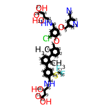 Cc1c(COc2cc(OCc3cncc(C#N)c3)c(CNC[C@@H](O)CC(=O)O)cc2Cl)cccc1-c1cccc(-c2ccc(CNC[C@@H](O)CC(=O)O)c(SC(F)F)c2)c1C